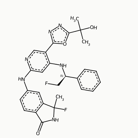 CC(C)(O)c1nnc(-c2cnc(Nc3ccc4c(c3)C(C)(F)NC4=O)cc2N[C@H](CF)c2ccccc2)o1